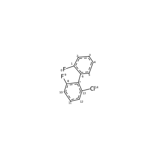 Fc1ccccc1-c1c(F)cccc1Cl